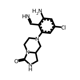 N=Cc1c(N)cc(Cl)cc1N1CCN2C(=O)NCC2C1